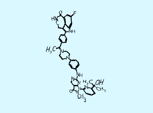 CC(c1ccc(-c2[nH]c3cc(F)cc4c3c2CCNC4=O)cc1)N1CCN(c2ccc(Nc3ncc4c(=O)n(C)n(-c5cccc(C(C)(C)O)n5)c4n3)cc2)CC1